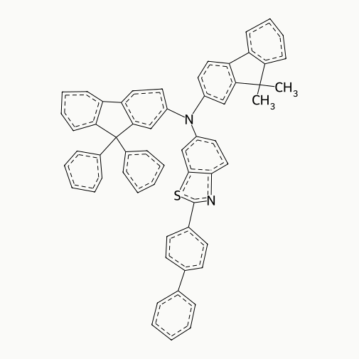 CC1(C)c2ccccc2-c2ccc(N(c3ccc4c(c3)C(c3ccccc3)(c3ccccc3)c3ccccc3-4)c3ccc4nc(-c5ccc(-c6ccccc6)cc5)sc4c3)cc21